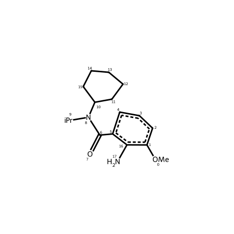 COc1cccc(C(=O)N(C(C)C)C2CCCCC2)c1N